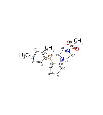 Cc1ccc(Sc2ccccc2N2CCN(S(C)(=O)=O)CC2)c(C)c1